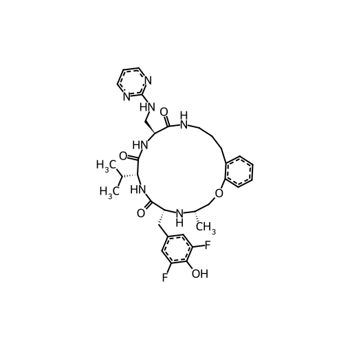 CC(C)[C@H]1NC(=O)[C@@H](Cc2cc(F)c(O)c(F)c2)N[C@@H](C)COc2ccccc2CCCNC(=O)[C@H](CNc2ncccn2)NC1=O